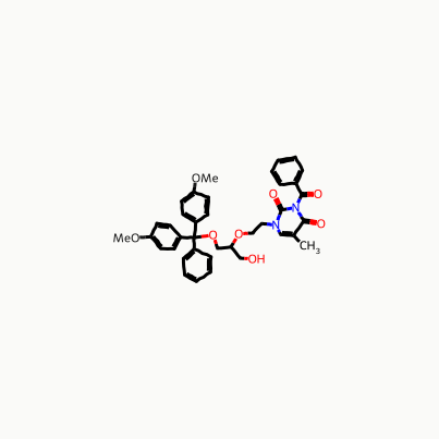 COc1ccc(C(OCC(CO)OCCn2cc(C)c(=O)n(C(=O)c3ccccc3)c2=O)(c2ccccc2)c2ccc(OC)cc2)cc1